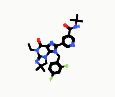 CCN1C(=O)c2nc(-c3cncc(C(=O)NC(C)(C)C)c3)n(Cc3ccc(F)cc3F)c2N2CC(C)(C)N=C12